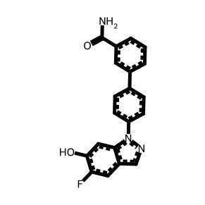 NC(=O)c1cccc(-c2ccc(-n3ncc4cc(F)c(O)cc43)cc2)c1